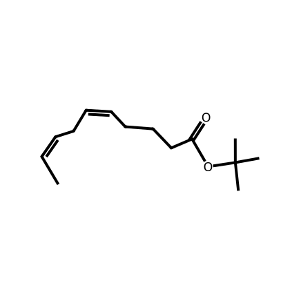 C/C=C\C/C=C\CCCC(=O)OC(C)(C)C